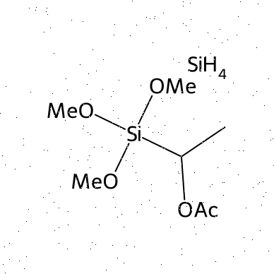 CO[Si](OC)(OC)C(C)OC(C)=O.[SiH4]